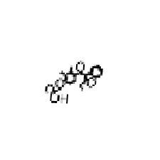 CCc1oc2ccccc2c1C(=O)c1ccc(OCC(=O)O)c(C)c1C